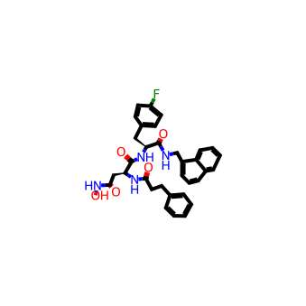 O=C(C[C@H](NC(=O)CCc1ccccc1)C(=O)N[C@@H](Cc1ccc(F)cc1)C(=O)NCc1cccc2ccccc12)NO